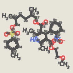 COCCOC(=O)C1=C(C)NC(C)=C(C(=O)OCC(C)CCC(C)COS(=O)(=O)c2ccc(C)cc2)C1c1ccccc1[N+](=O)[O-]